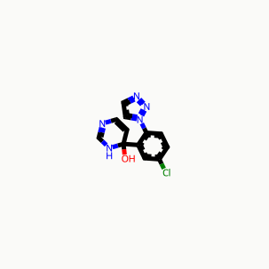 OC1(c2cc(Cl)ccc2-n2ccnn2)C=CN=CN1